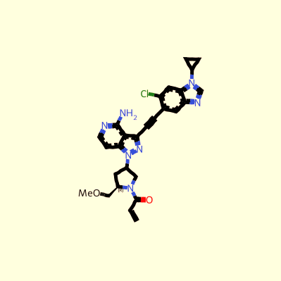 C=CC(=O)N1CC(n2nc(C#Cc3cc4ncn(C5CC5)c4cc3Cl)c3c(N)nccc32)C[C@@H]1COC